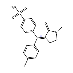 CN1CC/C(=C(\c2ccc(Cl)cc2)c2ccc(S(N)(=O)=O)cc2)C1=O